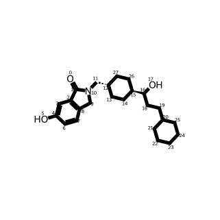 O=C1c2cc(O)ccc2CN1C[C@H]1CC[C@H](C(O)CCC2CCCCC2)CC1